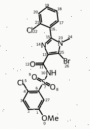 COc1ccc(Cl)c(S(=O)(=O)NC(=O)c2nc(-c3ccccc3Cl)n(C)c2Br)c1